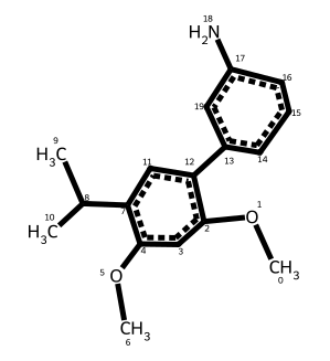 COc1cc(OC)c(C(C)C)cc1-c1cccc(N)c1